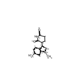 Cc1ccc2c(C3CCC(=O)NC3=O)nn(C)c2c1